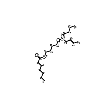 CCCCCCC(=O)SCCCCO[SiH](CCCC)CCCC